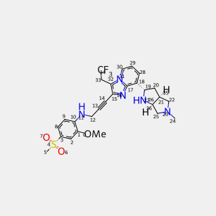 COc1cc(S(C)(=O)=O)ccc1NCC#Cc1nc2c([C@@H]3C[C@H]4CN(C)C[C@H]4N3)cccn2c1CC(F)(F)F